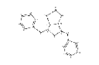 c1ccc(CN2CN(Cc3ccccc3)C3CSCC32)cc1